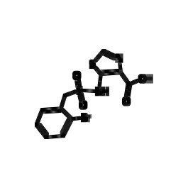 O=C(O)c1ncsc1NS(=O)(=O)Cc1ccccc1Br